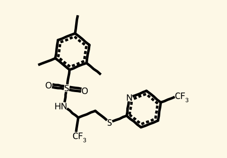 Cc1cc(C)c(S(=O)(=O)NC(CSc2ccc(C(F)(F)F)cn2)C(F)(F)F)c(C)c1